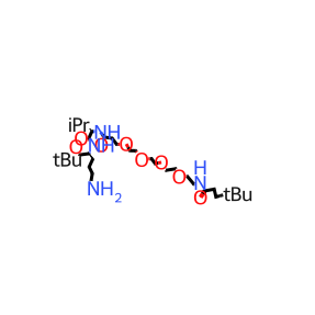 CC(C)[C@H](NC(=O)CCOCCOCCOCCOCCNC(=O)CCC(C)(C)C)C(=O)N[C@@H](CCCCN)C(=O)C(C)(C)C